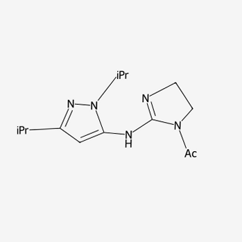 CC(=O)N1CCN=C1Nc1cc(C(C)C)nn1C(C)C